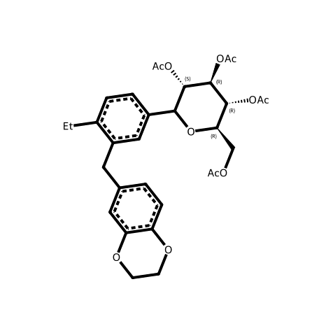 CCc1ccc(C2O[C@H](COC(C)=O)[C@@H](OC(C)=O)[C@H](OC(C)=O)[C@H]2OC(C)=O)cc1Cc1ccc2c(c1)OCCO2